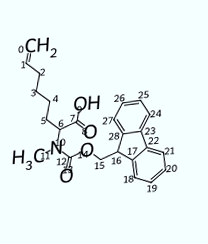 C=CCCCCC(C(=O)O)N(C)C(=O)OCC1c2ccccc2-c2ccccc21